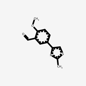 COc1ccc(-c2csc(C)n2)cc1C=O